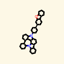 c1ccc2c(c1)oc1cc(-c3ccc(-n4c5cccc6c7ccccc7n7c8ccccc8c8ccc4c(c65)c87)cc3)ccc12